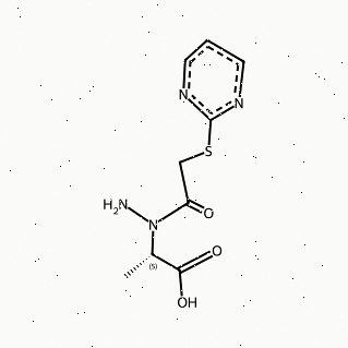 C[C@@H](C(=O)O)N(N)C(=O)CSc1ncccn1